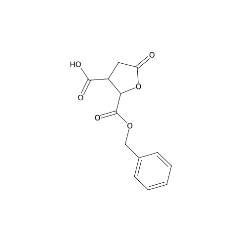 O=C1CC(C(=O)O)C(C(=O)OCc2ccccc2)O1